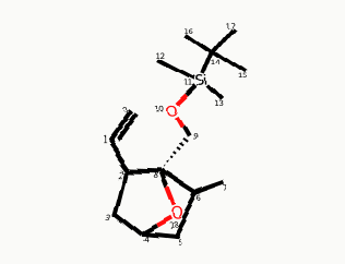 C=CC1CC2CC(C)[C@@]1(CO[Si](C)(C)C(C)(C)C)O2